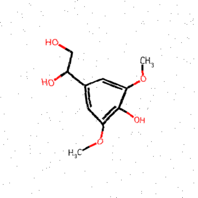 COc1cc(C(O)CO)cc(OC)c1O